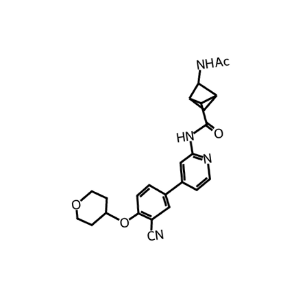 CC(=O)NC1C2CC1C2C(=O)Nc1cc(-c2ccc(OC3CCOCC3)c(C#N)c2)ccn1